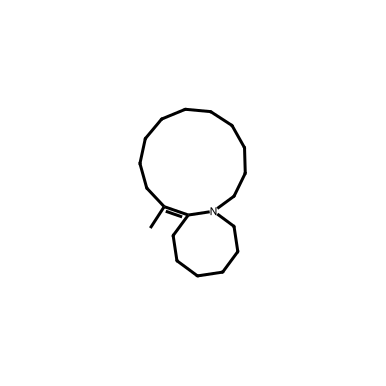 C/C1=C2\CCCCCCN2CCCCCCCCCC1